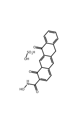 O=C(NO)C1=CC=C2C=C3Cc4ccccc4C(=O)C3=CC2C1=O.O=S(=O)(O)O